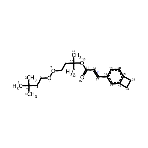 CC(C)(C)CCOOCCC(C)(C)OC(=O)/C=C/c1ccc2c(c1)CC2